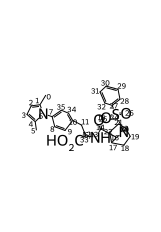 Cc1ccc(C)n1-c1ccc(C[C@H](NC(=O)C2C3CCC(CC3)N2S(=O)(=O)c2ccccc2)C(=O)O)cc1